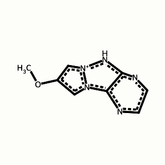 COc1cn2c3nccnc3[nH][n+]2c1